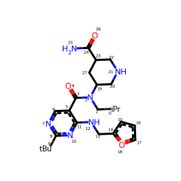 CC(C)CN(C(=O)c1cnc(C(C)(C)C)nc1NCc1ccco1)C1CNCC(C(N)=O)C1